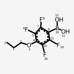 CCCOc1c(F)c(F)c(B(O)O)c(F)c1F